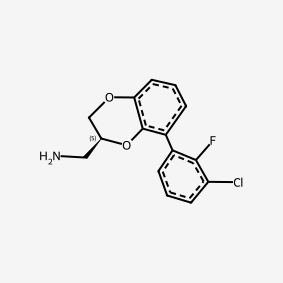 NC[C@H]1COc2cccc(-c3cccc(Cl)c3F)c2O1